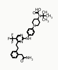 CC(C)(C)N(C(=O)O)C1CCN(c2ccc(Nc3ncc(C(F)(F)F)c(CCc4ccccc4CC(N)=O)n3)cc2)CC1